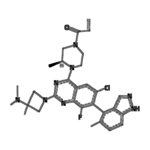 C=CC(=O)N1CCN(c2nc(N3CC(C)(N(C)C)C3)nc3c(F)c(-c4c(C)ccc5[nH]ncc45)c(Cl)cc23)[C@@H](C)C1